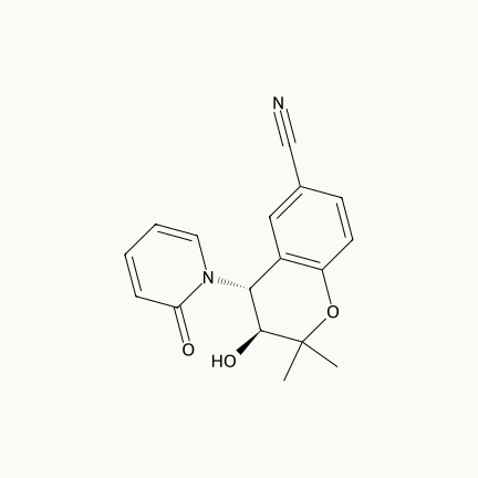 CC1(C)Oc2ccc(C#N)cc2[C@@H](n2ccccc2=O)[C@@H]1O